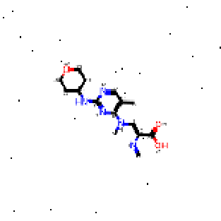 C=N/C(=C\N(C)c1nc(NC2CCOCC2)ncc1C)C(=O)O